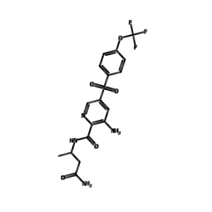 CC(CC(N)=O)NC(=O)c1ncc(S(=O)(=O)c2ccc(OC(F)(F)F)cc2)cc1N